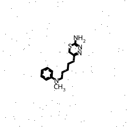 CN(CCCCCC1=NN=C(N)SC1)c1ccccc1